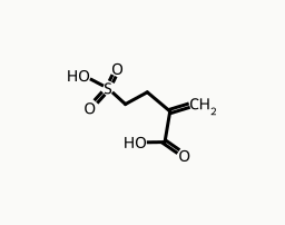 C=C(CCS(=O)(=O)O)C(=O)O